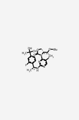 C[C@H](Nc1ncc(F)c(N2C(=O)OC[C@@H]2[C@@H](C)OC(C)(C)C)n1)c1ccc(C(C)(C)O)cc1F